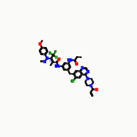 C=CC(=O)N1CCN(c2ncnc3cc(Cc4cc(NC(=O)CC)cc(NC(=O)/C(C)=C(/N(N=C)c5ccc(OC)cc5)C(F)(F)F)c4)c(Cl)cc23)CC1